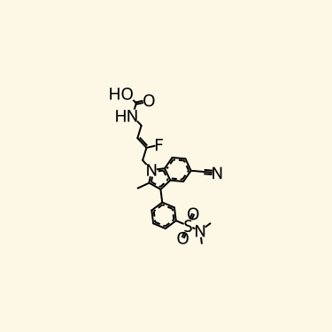 Cc1c(-c2cccc(S(=O)(=O)N(C)C)c2)c2cc(C#N)ccc2n1CC(F)=CCNC(=O)O